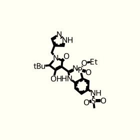 CCOP1(=O)N=C(C2=C(O)C(C(C)(C)C)N(Cc3cn[nH]c3)C2=O)Nc2ccc(NS(C)(=O)=O)cc21